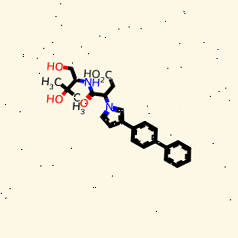 CC(C)(O)C(CO)NC(=O)C(CC(=O)O)n1ccc(-c2ccc(-c3ccccc3)cc2)c1